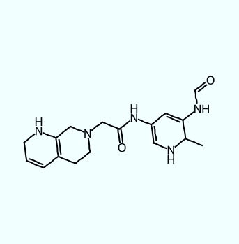 CC1NC=C(NC(=O)CN2CCC3=C(C2)NCC=C3)C=C1NC=O